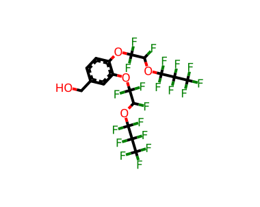 OCc1ccc(OC(F)(F)C(F)OC(F)(F)C(F)(F)C(F)(F)F)c(OC(F)(F)C(F)OC(F)(F)C(F)(F)C(F)(F)F)c1